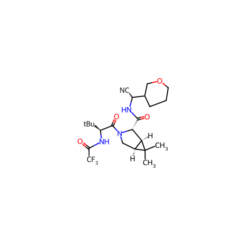 CC(C)(C)[C@H](NC(=O)C(F)(F)F)C(=O)N1C[C@H]2[C@@H]([C@H]1C(=O)NC(C#N)C1CCCOC1)C2(C)C